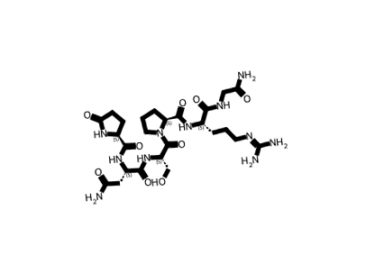 NC(=O)CNC(=O)[C@H](CCCN=C(N)N)NC(=O)[C@@H]1CCCN1C(=O)[C@H](CO)NC(=O)[C@H](CC(N)=O)NC(=O)[C@@H]1CCC(=O)N1